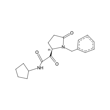 O=C(NC1CCCC1)C(=O)[C@H]1CCC(=O)N1Cc1ccccc1